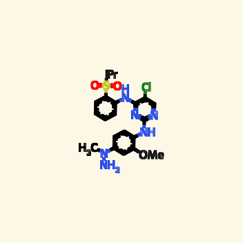 COc1cc(N(C)N)ccc1Nc1ncc(Cl)c(Nc2ccccc2S(=O)(=O)C(C)C)n1